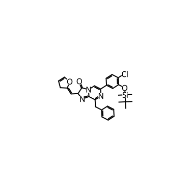 CC(C)(C)[Si](C)(C)Oc1cc(C2=CN3C(=O)C(/C=C4/CC=CO4)N=C3C(Cc3ccccc3)=N2)ccc1Cl